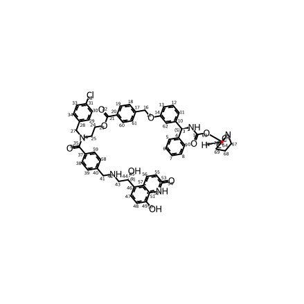 O=C(N[C@@H](c1ccccc1)c1cccc(OCc2ccc(C(=O)OCCN(Cc3ccc(Cl)cc3)C(=O)c3ccc(CNC[C@H](O)c4ccc(O)c5[nH]c(=O)ccc45)cc3)cc2)c1)O[C@H]1CN2CCC1CC2